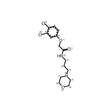 O=C(COc1ccc(Cl)c(Cl)c1)NCCCN1CCOCC1